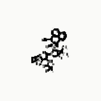 C#Cc1cccc2cncc(C(C#N)NC(=O)[C@@H]3[C@@H]4[C@H](CN3C(=O)[C@@H](NC(=O)C(F)(F)F)[C@@H](C)OC3(C)CCC3)C4(C)C)c12